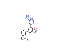 CC1C=CCC(c2cc(-c3ccnc(CN)c3)c3occc3c2)C1